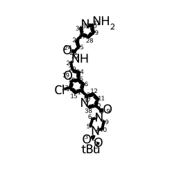 CC(C)(C)OC(=O)N1CCN(C(=O)c2ccc(-c3cc(Cl)c4oc(CNC(=O)C=Cc5ccc(N)nc5)cc4c3)nc2)CC1